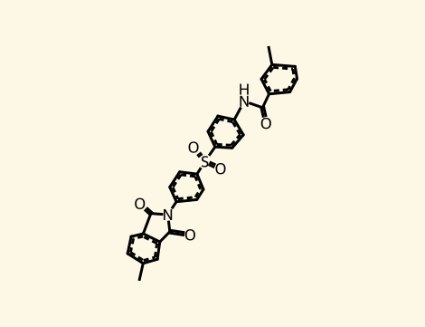 Cc1cccc(C(=O)Nc2ccc(S(=O)(=O)c3ccc(N4C(=O)c5ccc(C)cc5C4=O)cc3)cc2)c1